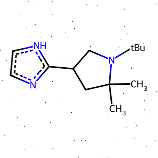 CC(C)(C)N1CC(c2ncc[nH]2)CC1(C)C